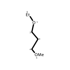 CCO[CH]CCOC